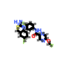 NC1=N[C@@]2(c3cc(NC(=O)c4cnc(OCF)cn4)ccc3F)CCC(F)CC2CS1